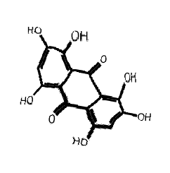 O=C1c2c(O)cc(O)c(O)c2C(=O)c2c(O)c(O)cc(O)c21